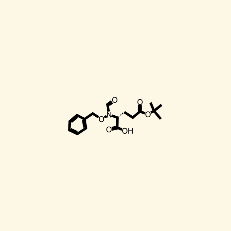 CC(C)(C)OC(=O)CC[C@H](C(=O)O)N(C=O)OCc1ccccc1